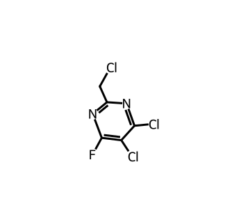 Fc1nc(CCl)nc(Cl)c1Cl